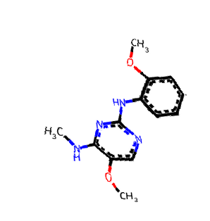 CNc1nc(Nc2cc[c]cc2OC)ncc1OC